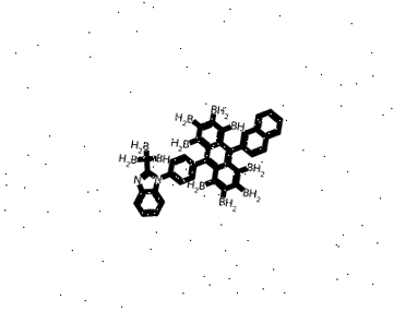 Bc1c(B)c(B)c2c(-c3ccc4ccccc4c3)c3c(B)c(B)c(B)c(B)c3c(-c3ccc(-n4c(C(B)(B)B)nc5ccccc54)cc3)c2c1B